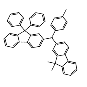 Cc1ccc(N(c2ccc3c(c2)C(C)(C)c2ccccc2-3)c2ccc3c(c2)C(c2ccccc2)(c2ccccc2)c2ccccc2-3)cc1